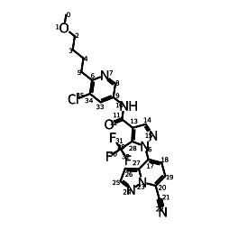 COCCCCc1ncc(NC(=O)c2cnn(-c3ccc(C#N)n4nccc34)c2C(F)(F)F)cc1Cl